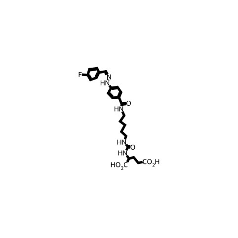 O=C(O)CCC(NC(=O)NCCCCCNC(=O)c1ccc(N/N=C\c2ccc(F)cc2)cc1)C(=O)O